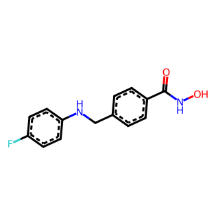 O=C(NO)c1ccc(CNc2ccc(F)cc2)cc1